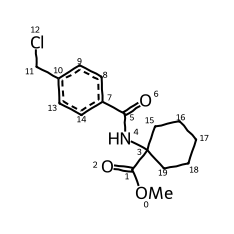 COC(=O)C1(NC(=O)c2ccc(CCl)cc2)CCCCC1